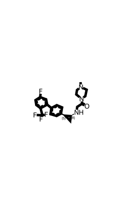 CN1CCN(C(=O)CN[C@@H]2C[C@H]2c2ccc(-c3cc(F)ccc3C(F)(F)F)cc2)CC1